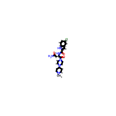 CN1CCC(N2CCN(C(=O)[C@@H](CC(N)=O)NC(=O)c3cc4cc(Cl)ccc4[nH]3)CC2)CC1